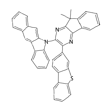 CC1(C)c2ccccc2-c2nc(-c3ccc4c(c3)sc3ccccc34)c(-n3c4ccccc4c4cc5ccccc5cc43)nc21